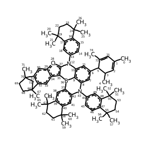 CC1=CC(C)C(c2cc3c4c(c2)N(c2ccc5c(c2)C(C)(C)CCC5(C)C)c2oc5cc6c(cc5c2B4c2cc4c(cc2N3c2ccc3c(c2)C(C)(C)CCC3(C)C)C(C)(C)CCC4(C)C)C2(C)CCC6(C)C2)C(C)=C1